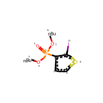 CCCCOP(=O)(OCCCC)c1ccsc1I